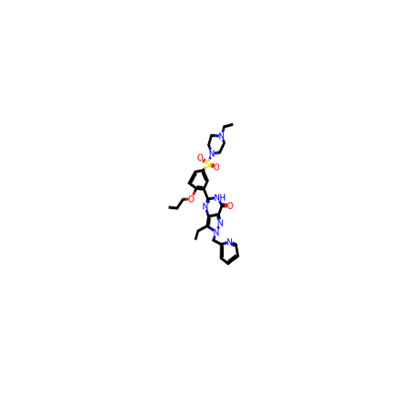 CCCOc1ccc(S(=O)(=O)N2CCN(CC)CC2)cc1-c1nc2c(CC)n(Cc3ccccn3)nc2c(=O)[nH]1